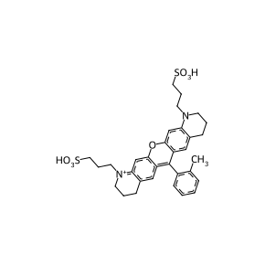 Cc1ccccc1C1=c2cc3c(cc2Oc2cc4c(cc21)CCCN4CCCS(=O)(=O)O)=[N+](CCCS(=O)(=O)O)CCC3